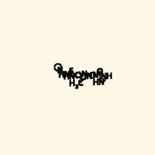 Cc1cc(N2CCN(C(=O)C3CNCCN3)CC2)nc2ccc(NC(=S)NCCN3CCCCCC3)cc12